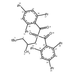 CC(CC(C)(C)C)CP(=O)(C(=O)c1c(C(C)C)cc(C(C)C)cc1C(C)C)C(=O)c1c(C(C)C)cc(C(C)C)cc1C(C)C